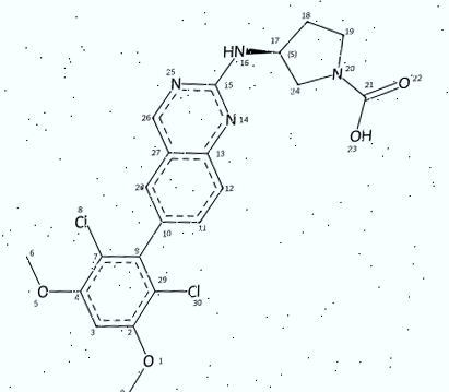 COc1cc(OC)c(Cl)c(-c2ccc3nc(N[C@H]4CCN(C(=O)O)C4)ncc3c2)c1Cl